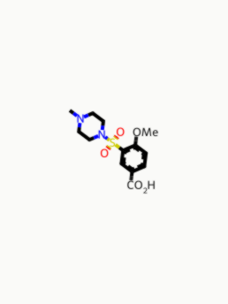 COc1ccc(C(=O)O)cc1S(=O)(=O)N1CCN(C)CC1